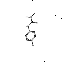 CN(C)C(=O)Nc1ccc(Br)cc1